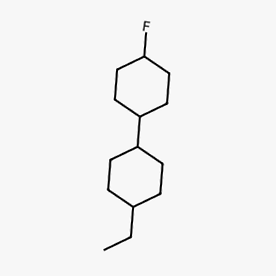 CCC1CCC(C2CCC(F)CC2)CC1